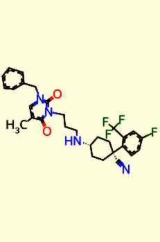 Cc1cn(Cc2ccccc2)c(=O)n(CCCN[C@H]2CC[C@](C#N)(c3ccc(F)cc3C(F)(F)F)CC2)c1=O